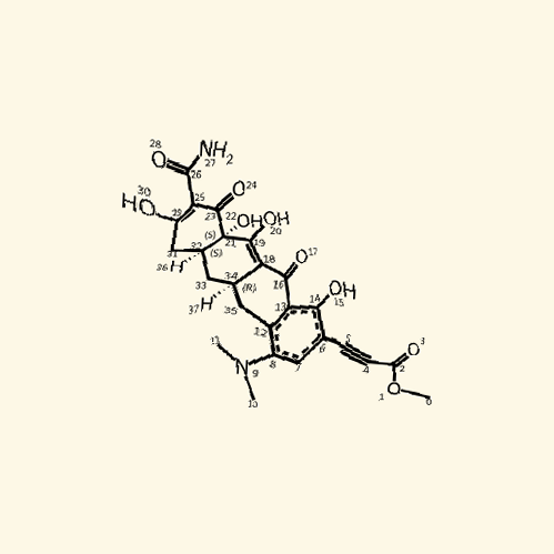 COC(=O)C#Cc1cc(N(C)C)c2c(c1O)C(=O)C1=C(O)[C@]3(O)C(=O)C(C(N)=O)=C(O)C[C@@H]3C[C@@H]1C2